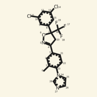 Cc1cc(C2=NOC(c3cc(Cl)cc(Cl)c3)(C(F)(F)F)C2)ccc1-n1ccnc1